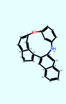 c1cc2cc(c1)oc1ccc3cccc(c3c1)c1cc3ccccc3cc1[nH]2